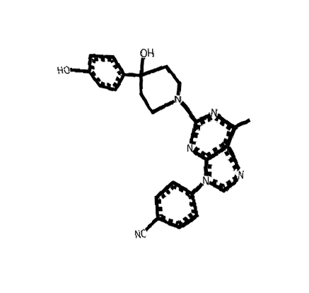 Cc1nc(N2CCC(O)(c3ccc(O)cc3)CC2)nc2c1ncn2-c1ccc(C#N)cc1